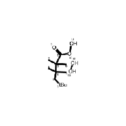 CC(C)(C)CC(C)(C)C(C)(C)C(=O)OO.OO